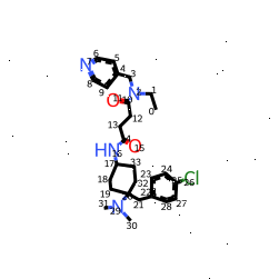 CCN(Cc1ccncc1)C(=O)CCC(=O)NC1CCC(Cc2ccc(Cl)cc2)(N(C)C)CC1